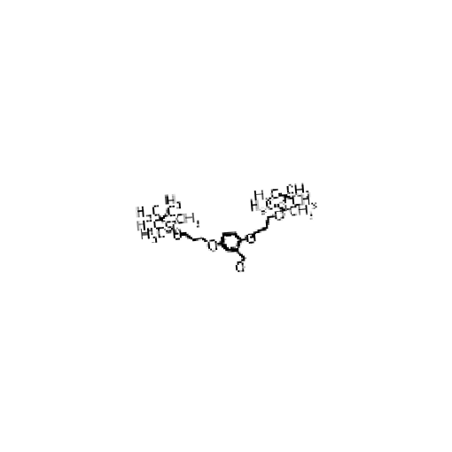 CC(C)(C)[Si](C)(C)OCCCOc1ccc(OCCCO[Si](C)(C)C(C)(C)C)c(C=O)c1